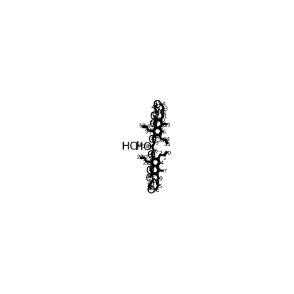 C=CCc1cc2c(C)c(CN3CCOCC3)c(=O)oc2c(CC=C)c1OCC(O)COc1c(CC=C)cc2c(C)c(CN3CCOCC3)c(=O)oc2c1CC=C.Cl